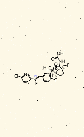 C[C@]1(c2cc(/C=C(\F)c3cnc(Cl)cn3)ccc2F)N=C(NC(=O)O)[C@@]2(CF)CC[C@@H]1S2(=O)=O